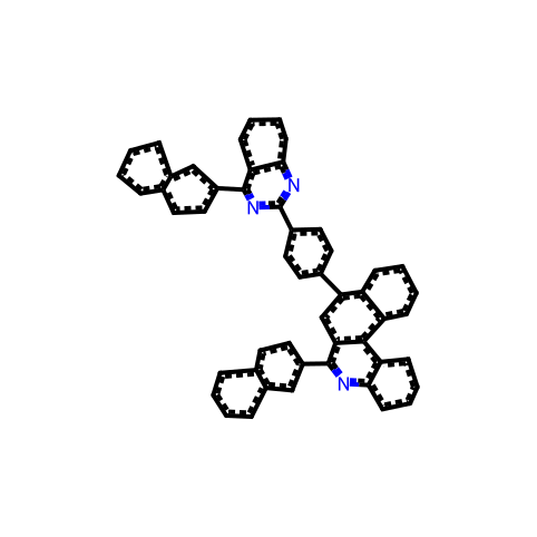 c1ccc2cc(-c3nc(-c4ccc(-c5cc6c(-c7ccc8ccccc8c7)nc7ccccc7c6c6ccccc56)cc4)nc4ccccc34)ccc2c1